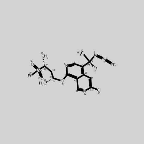 CC[C@@](C)(N=[N+]=[N-])c1cnc(O[C@H](C)C[C@@H](C)S(=O)(=O)CC)c2cnc(Cl)cc12